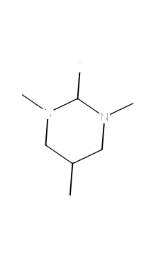 CC1CN(C)C(F)N(C)C1